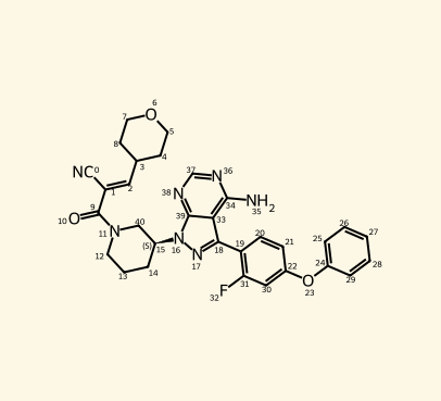 N#CC(=CC1CCOCC1)C(=O)N1CCC[C@H](n2nc(-c3ccc(Oc4ccccc4)cc3F)c3c(N)ncnc32)C1